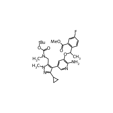 COC(=O)c1cc(F)ccc1C(C)Oc1cc(-c2c(C3CC3)nn(C)c2CN(C)C(=O)OC(C)(C)C)cnc1N